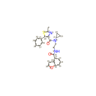 Cc1nc(C(=O)N(CCNC(=O)c2cccc3occc23)C2CC2)c(-c2ccccc2)s1